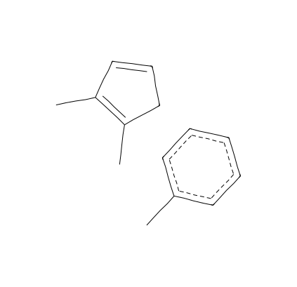 CC1=C(C)CC=C1.Cc1ccccc1